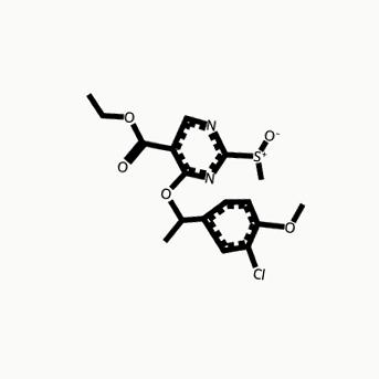 CCOC(=O)c1cnc([S+](C)[O-])nc1OC(C)c1ccc(OC)c(Cl)c1